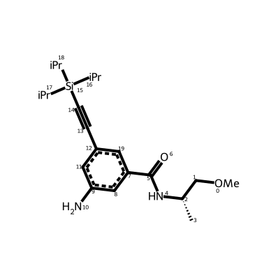 COC[C@H](C)NC(=O)c1cc(N)cc(C#C[Si](C(C)C)(C(C)C)C(C)C)c1